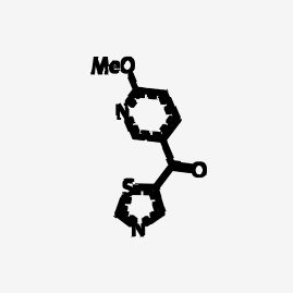 COc1ccc(C(=O)c2cncs2)cn1